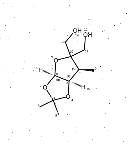 C[C@H]1[C@H]2OC(C)(C)O[C@H]2OC1(CO)CO